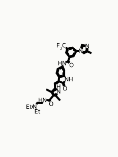 CCN(CC)CCNC(=O)c1c(C)[nH]c(C=C2C(=O)Nc3cc(NC(=O)c4cc(-n5cnc(C)c5)cc(C(F)(F)F)c4)ccc32)c1C